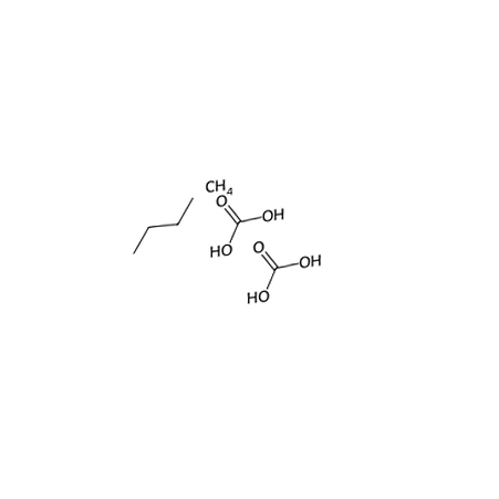 C.CCCC.O=C(O)O.O=C(O)O